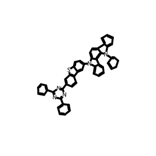 C1=CC(n2c3ccccc3c3ccc4c(c5ccccc5n4-c4ccc5sc6cc(-c7nc(-c8ccccc8)nc(-c8ccccc8)n7)ccc6c5c4)c32)=CCC1